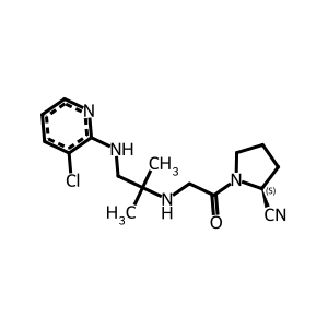 CC(C)(CNc1ncccc1Cl)NCC(=O)N1CCC[C@H]1C#N